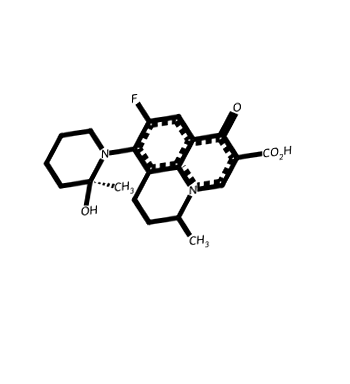 CC1CCc2c(N3CCCC[C@]3(C)O)c(F)cc3c(=O)c(C(=O)O)cn1c23